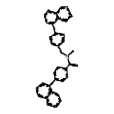 C=C(c1ccc(-c2cccc3ccccc23)cc1)N(C)Cc1ccc(-c2cccc3ccccc23)cc1